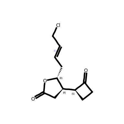 O=C1C[C@H]([C@@H]2CCC2=O)[C@@H](C/C=C/CCl)O1